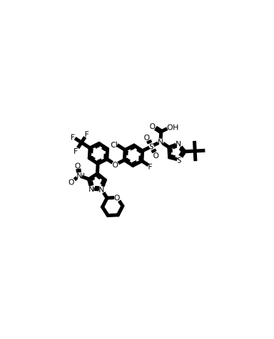 CC(C)(C)c1nc(N(C(=O)O)S(=O)(=O)c2cc(Cl)c(Oc3ccc(C(F)(F)F)cc3-c3cn(C4CCCCO4)nc3[N+](=O)[O-])cc2F)cs1